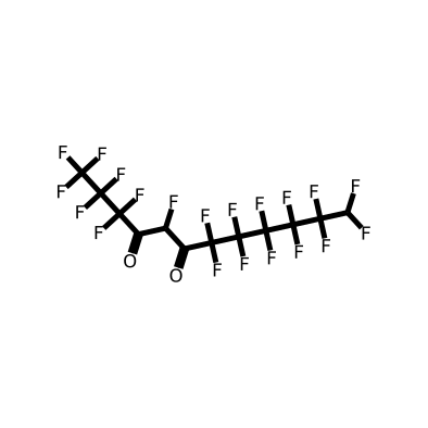 O=C(C(F)C(=O)C(F)(F)C(F)(F)C(F)(F)C(F)(F)C(F)(F)C(F)F)C(F)(F)C(F)(F)C(F)(F)F